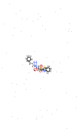 CC(C)(C(=O)NCCCc1ccccc1)S(=O)(=O)c1nc2ccccc2s1